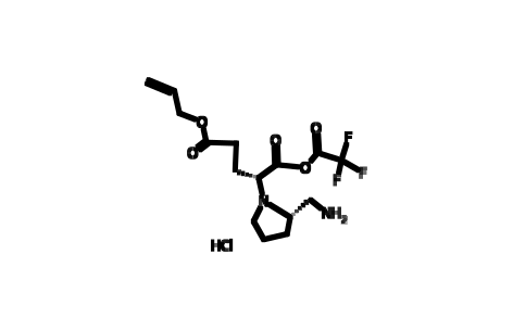 C=CCOC(=O)CC[C@H](C(=O)OC(=O)C(F)(F)F)N1CCC[C@H]1CN.Cl